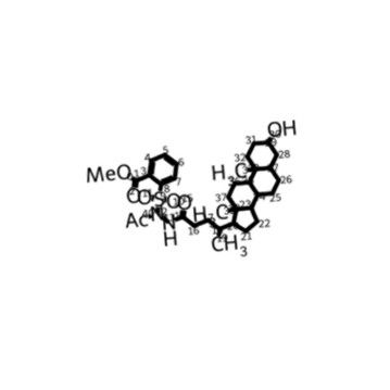 COC(=O)c1ccccc1S(=O)(=O)N(NC(=O)CCC(C)C1CCC2C3CCC4CC(O)CCC4(C)C3CCC12C)C(C)=O